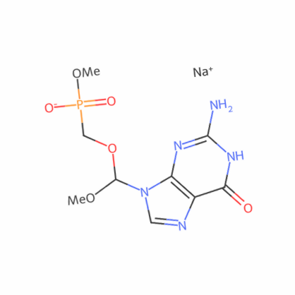 COC(OCP(=O)([O-])OC)n1cnc2c(=O)[nH]c(N)nc21.[Na+]